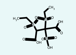 CCS(=O)(=O)C(C(=O)O)C(C(=O)O)(S(=O)(=O)O)S(=O)(=O)CC